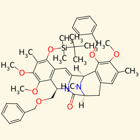 COc1c(C)cc2c(c1OCc1ccccc1)[C@@H]1C3=Cc4c(O[Si](C)(C)C(C)(C)C)c(C)c(OC)c(OC)c4[C@H](COCc4ccccc4)N3C(=O)[C@H](C2)N1C